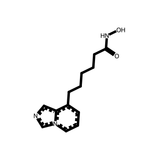 O=C(CCCCCc1cccn2cncc12)NO